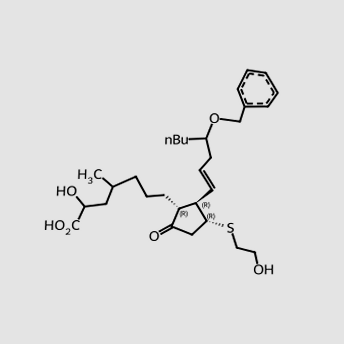 CCCCC(CC=C[C@H]1[C@H](SCCO)CC(=O)[C@@H]1CCCC(C)CC(O)C(=O)O)OCc1ccccc1